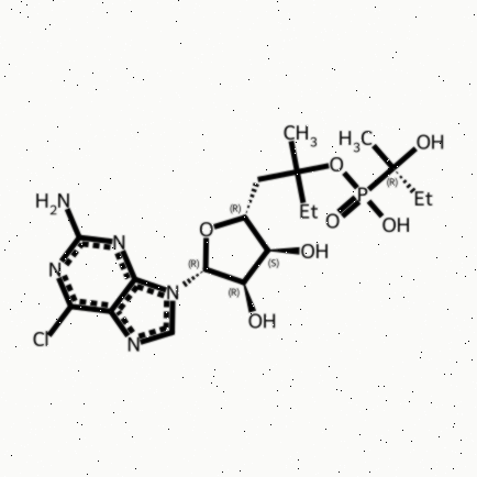 CCC(C)(C[C@H]1O[C@@H](n2cnc3c(Cl)nc(N)nc32)[C@H](O)[C@@H]1O)OP(=O)(O)[C@@](C)(O)CC